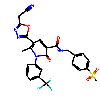 Cc1c(-c2nnc(CC#N)o2)cc(C(=O)NCc2ccc(S(C)(=O)=O)cc2)c(=O)n1-c1cccc(C(F)(F)F)c1